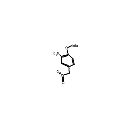 CCCCOc1ccc(C[SH](=O)=O)cc1[N+](=O)[O-]